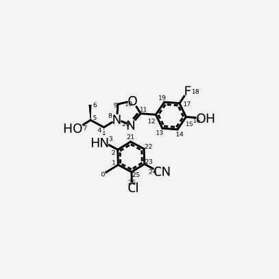 Cc1c(N[C@H]([C@H](C)O)N2COC(c3ccc(O)c(F)c3)=N2)ccc(C#N)c1Cl